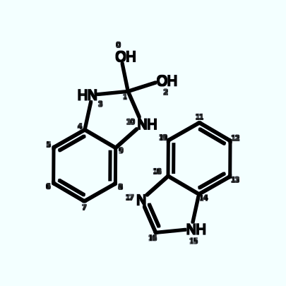 OC1(O)Nc2ccccc2N1.c1ccc2[nH]cnc2c1